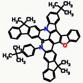 CC(C)(C)c1ccc(N2B3c4cc5c(cc4-n4c6ccc(C(C)(C)C)cc6c6c7c(oc8ccccc87)c(c3c64)-c3cc4c(cc32)-c2ccccc2C4(C)C)C(C)(C)c2ccccc2-5)cc1